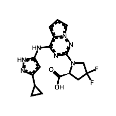 O=C(O)[C@@H]1CC(F)(F)CN1c1nc(Nc2cc(C3CC3)n[nH]2)c2cccn2n1